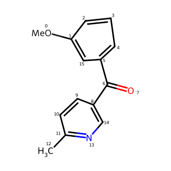 COc1cccc(C(=O)c2ccc(C)nc2)c1